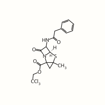 CC12CC1(C(=O)OCC(Cl)(Cl)Cl)N1C(=O)C(NC(=O)Cc3ccccc3)[C@H]1S2